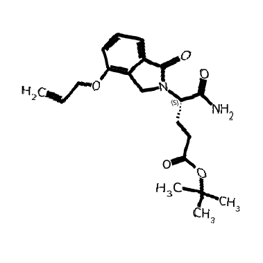 C=CCOc1cccc2c1CN([C@@H](CCC(=O)OC(C)(C)C)C(N)=O)C2=O